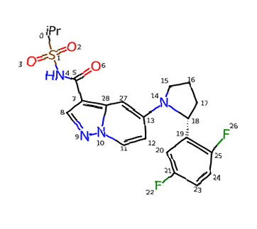 CC(C)S(=O)(=O)NC(=O)c1cnn2ccc(N3CCC[C@@H]3c3cc(F)ccc3F)cc12